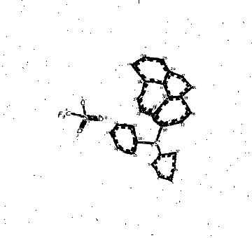 O=S(=O)([O-])C(F)(F)F.c1ccc([S+](c2ccccc2)c2ccc3ccc4cccc5ccc2c3c45)cc1